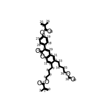 C=C(C)C(=O)OCCCCc1cc2oc(=O)c(-c3ccc(OC(=O)C(=C)C)cc3)cc2cc1CCCCOC=O